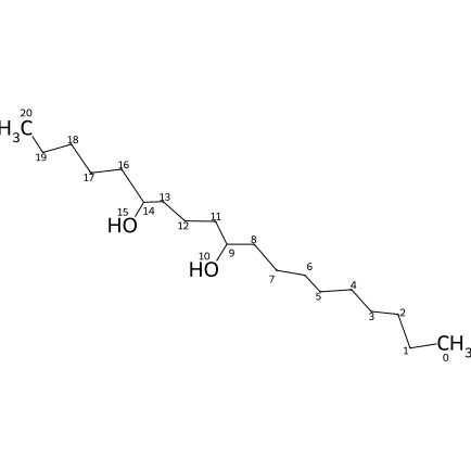 CCCCCCCCCC(O)CCCC(O)CCCCC